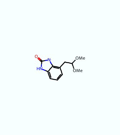 COC(Cc1cccc2c1[N]C(=O)N2)OC